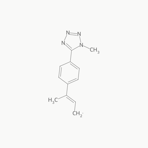 [CH2]C=C(C)c1ccc(-c2nnnn2C)cc1